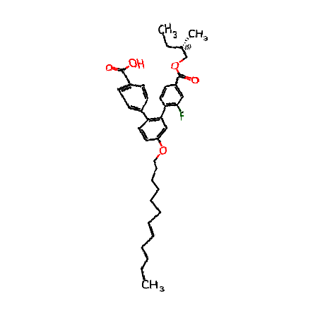 CCCCCCCCCCCCOc1ccc(-c2ccc(C(=O)O)cc2)c(-c2ccc(C(=O)OC[C@@H](C)CC)cc2F)c1